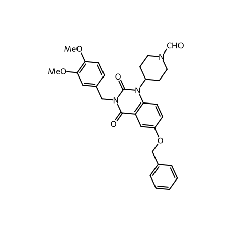 COc1ccc(Cn2c(=O)c3cc(OCc4ccccc4)ccc3n(C3CCN(C=O)CC3)c2=O)cc1OC